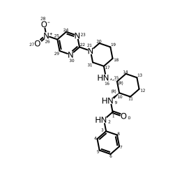 O=C(Nc1ccccc1)N[C@@H]1CCCC[C@H]1NC1CCCN(c2ncc([N+](=O)[O-])cn2)C1